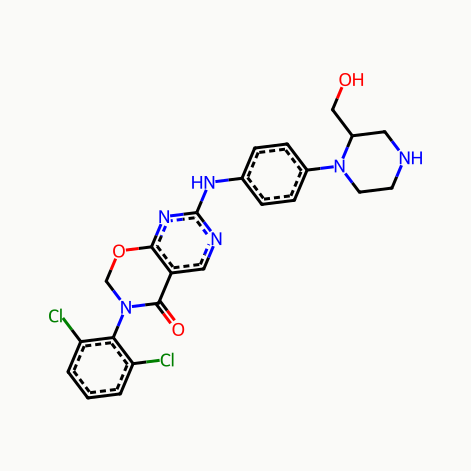 O=C1c2cnc(Nc3ccc(N4CCNCC4CO)cc3)nc2OCN1c1c(Cl)cccc1Cl